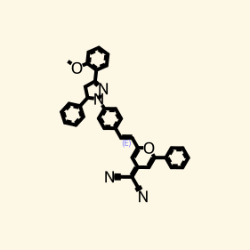 COc1ccccc1C1=NN(c2ccc(/C=C/C3=CC(=C(C#N)C#N)C=C(c4ccccc4)O3)cc2)C(c2ccccc2)C1